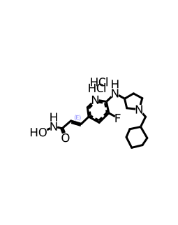 Cl.Cl.O=C(/C=C/c1cnc(NC2CCN(CC3CCCCC3)C2)c(F)c1)NO